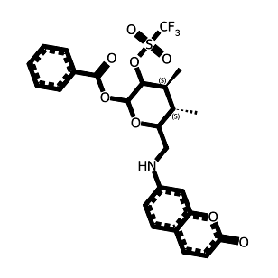 C[C@@H]1C(CNc2ccc3ccc(=O)oc3c2)OC(OC(=O)c2ccccc2)C(OS(=O)(=O)C(F)(F)F)[C@H]1C